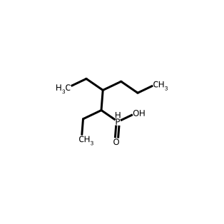 CCCC(CC)C(CC)[PH](=O)O